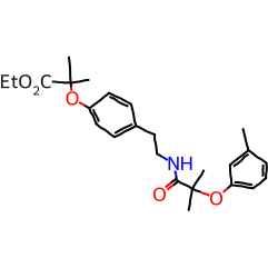 CCOC(=O)C(C)(C)Oc1ccc(CCNC(=O)C(C)(C)Oc2cccc(C)c2)cc1